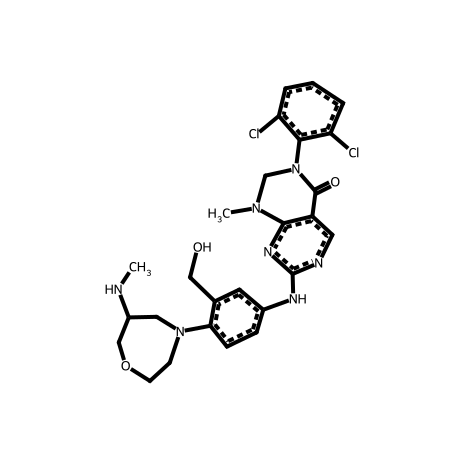 CNC1COCCN(c2ccc(Nc3ncc4c(n3)N(C)CN(c3c(Cl)cccc3Cl)C4=O)cc2CO)C1